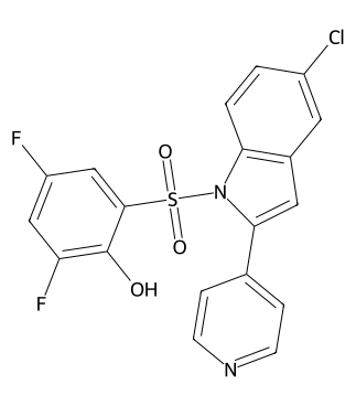 O=S(=O)(c1cc(F)cc(F)c1O)n1c(-c2ccncc2)cc2cc(Cl)ccc21